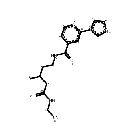 CC(CCNC(=O)c1ccnc(-n2ccnc2)c1)CC(=O)NCC#N